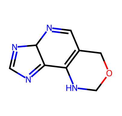 C1=NC2N=CC3=C(NCOC3)C2=N1